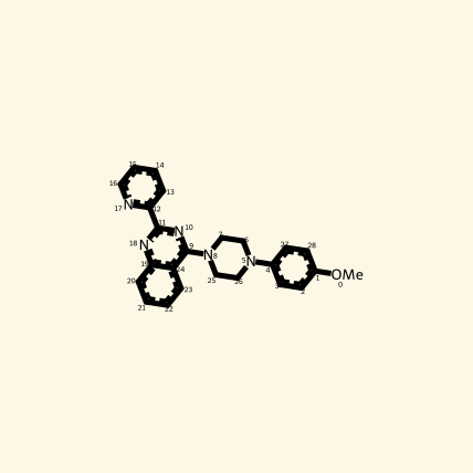 COc1ccc(N2CCN(c3nc(-c4ccccn4)nc4ccccc34)CC2)cc1